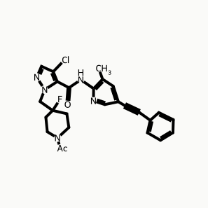 CC(=O)N1CCC(F)(Cn2ncc(Cl)c2C(=O)Nc2ncc(C#Cc3ccccc3)cc2C)CC1